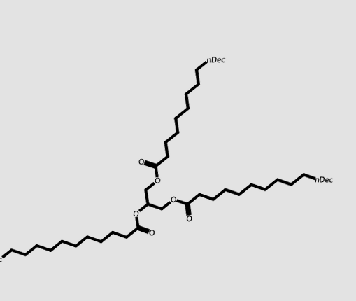 CCCCCCCCCCCCCCCCCCCCC(=O)OC(COC(=O)CCCCCCCCCCCCCCCCCC)COC(=O)CCCCCCCCCCCCCCCCCCC